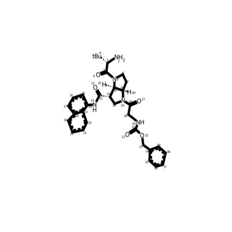 CC(C)(C)[C@H](N)C(=O)N1CC[C@@H]2[C@H]1[C@@H](C(=O)Nc1cccc3ccccc13)CN2C(=O)CNC(=O)OCc1ccccc1